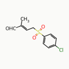 C/C(C=O)=C\CS(=O)(=O)c1ccc(Cl)cc1